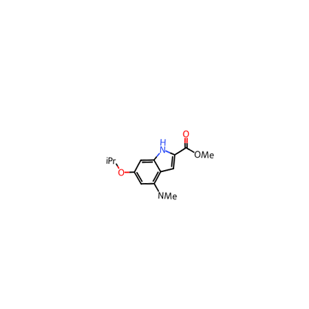 CNc1cc(OC(C)C)cc2[nH]c(C(=O)OC)cc12